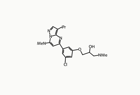 CNCC(O)COc1cc(Cl)cc(-c2cc(NC)n3ncc(C(C)C)c3n2)c1